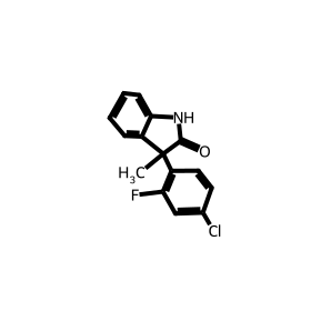 CC1(c2ccc(Cl)cc2F)C(=O)Nc2ccccc21